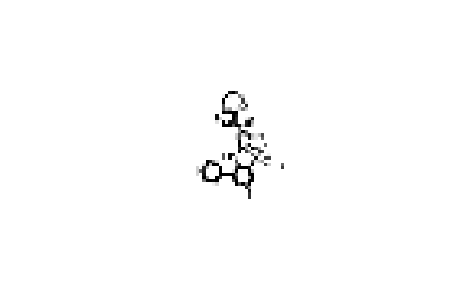 CC(C)c1cc(F)cc(-c2ccncc2)c1NC(=O)N=[S@@](N)(=O)c1cnn2c1OCCC2